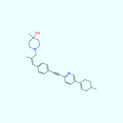 CC(=Cc1ccc(C#Cc2ccc(C3=CCC(C)CC3)cn2)cc1)CN1CCC(C)(O)CC1